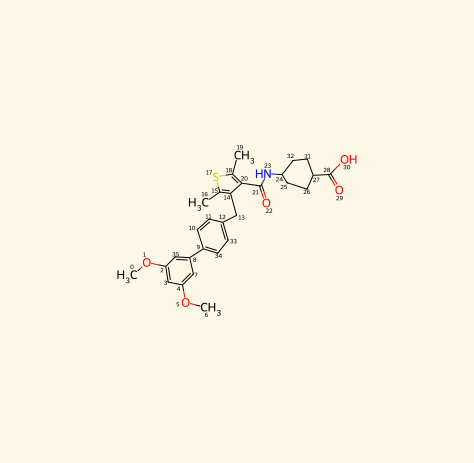 COc1cc(OC)cc(-c2ccc(Cc3c(C)sc(C)c3C(=O)NC3CCC(C(=O)O)CC3)cc2)c1